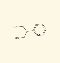 O[CH]C([CH]O)c1ccccc1